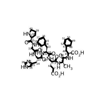 C[C@H](NC(=O)[C@H](CCC(=O)O)NC(=O)[C@H](Cc1ccccc1)NC(=O)[C@H](Cc1c[nH]cn1)NC(=O)CNC(=O)[C@@H]1CCCN1)C(=O)N[C@@H](Cc1ccccc1)C(=O)O